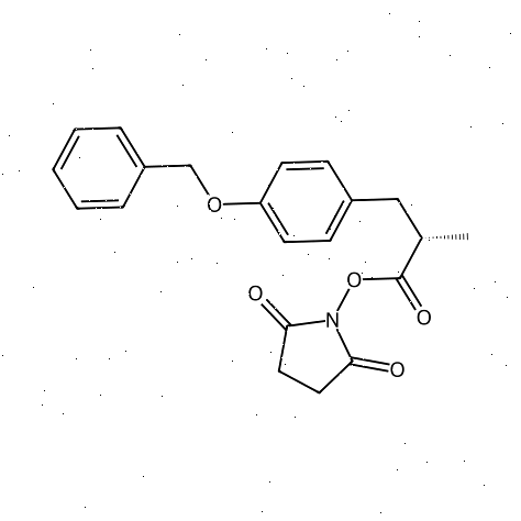 C[C@@H](Cc1ccc(OCc2ccccc2)cc1)C(=O)ON1C(=O)CCC1=O